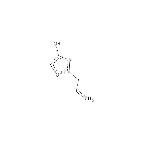 C=CCc1nc(O)co1